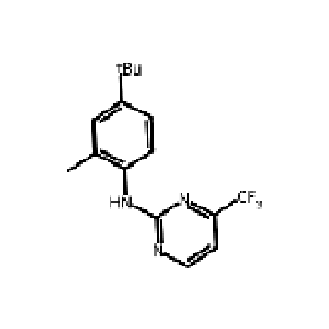 Cc1cc(C(C)(C)C)ccc1Nc1nccc(C(F)(F)F)n1